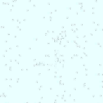 CCCCCCC(Cc1c[nH]c2ccc(OCCCNc3ccccn3)cc12)C(=O)O